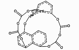 O=C1OC(=O)Oc2cccc3c4ccc(c23)OC(=O)OC(=O)Oc2ccc(c3cccc(c23)O1)O4